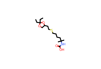 CCC1(CC)OCC(CCSCCCCC(C)(C)NC(=O)O)O1